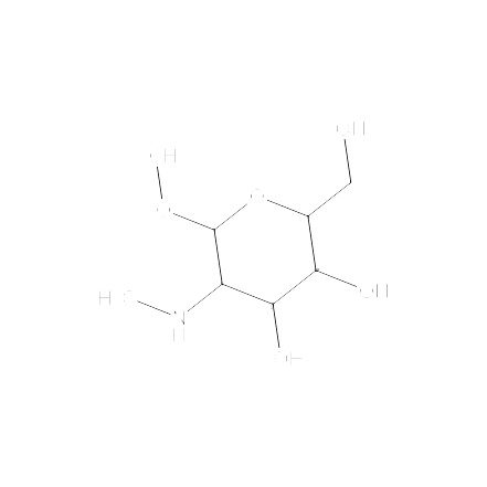 CNC1C(OC)OC(CO)C(O)C1O